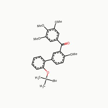 COc1ccc(-c2ccccc2O[Si](C)(C)C(C)(C)C)cc1C(=O)c1cc(OC)c(OC)c(OC)c1